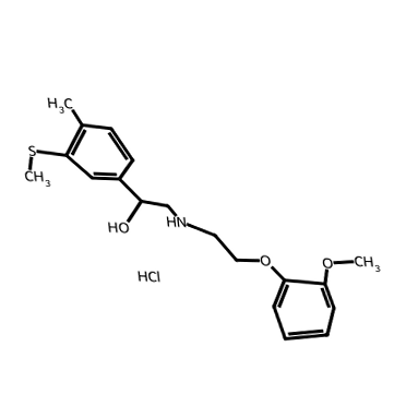 COc1ccccc1OCCNCC(O)c1ccc(C)c(SC)c1.Cl